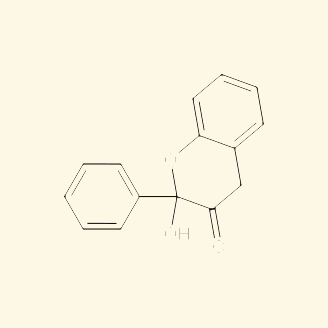 O=C1Cc2ccccc2OC1(O)c1ccccc1